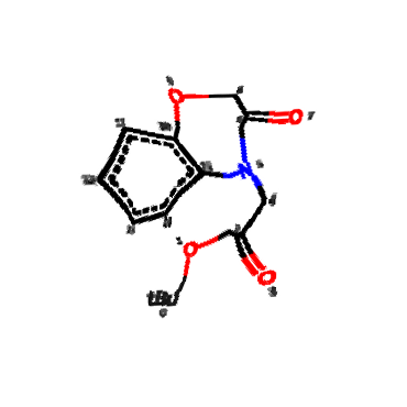 CC(C)(C)OC(=O)CN1C(=O)COc2ccccc21